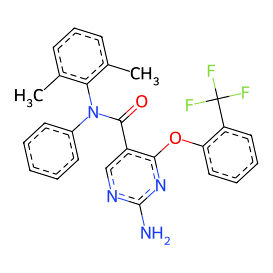 Cc1cccc(C)c1N(C(=O)c1cnc(N)nc1Oc1ccccc1C(F)(F)F)c1ccccc1